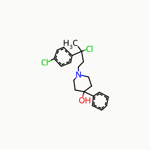 CC(Cl)(CCN1CCC(O)(c2ccccc2)CC1)c1ccc(Cl)cc1